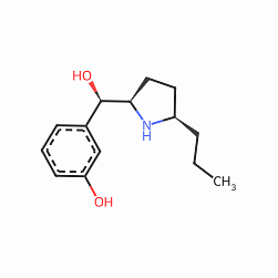 CCC[C@@H]1CC[C@H]([C@H](O)c2cccc(O)c2)N1